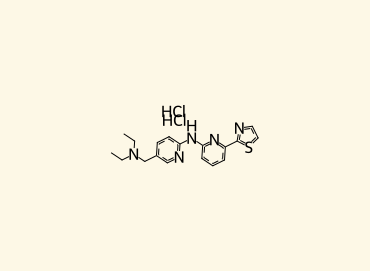 CCN(CC)Cc1ccc(Nc2cccc(-c3nccs3)n2)nc1.Cl.Cl